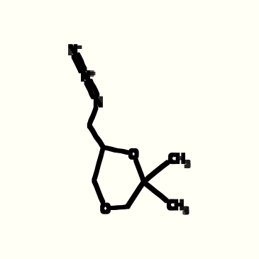 CC1(C)COCC(CN=[N+]=[N-])O1